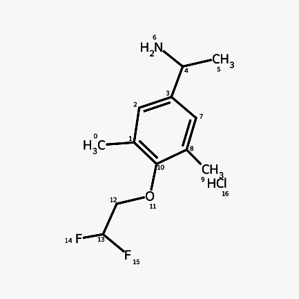 Cc1cc(C(C)N)cc(C)c1OCC(F)F.Cl